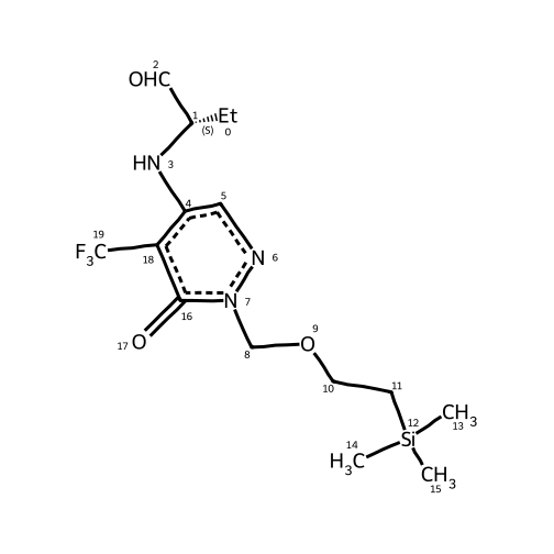 CC[C@@H](C=O)Nc1cnn(COCC[Si](C)(C)C)c(=O)c1C(F)(F)F